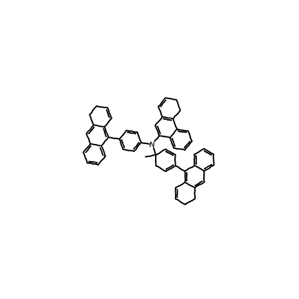 CC1(N(c2ccc(-c3c4c(cc5ccccc35)CCC=C4)cc2)c2cc3c(c4ccccc24)CCC=C3)C=CC(c2c3c(cc4ccccc24)CCC=C3)=CC1